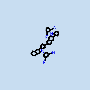 N#Cc1cc(C#N)cc(-n2c3cc(-c4ccc5cc6c7ccccc7n(-c7c(C#N)cccc7C#N)c6cc5c4)ccc3c3cc4ccccc4cc32)c1